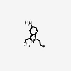 CCc1nn(CCF)c2ccc(N)cc12